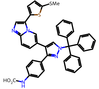 CSc1ccc(-c2cnc3ccc(-c4cn(C(c5ccccc5)(c5ccccc5)c5ccccc5)nc4-c4ccc(NC(=O)O)cc4)cn23)s1